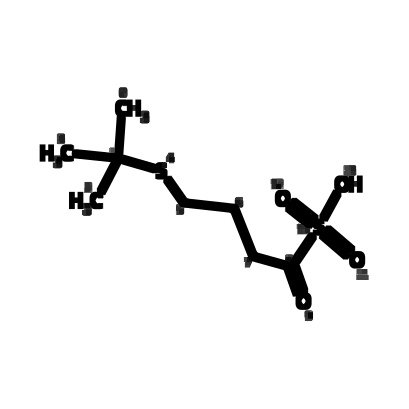 CC(C)(C)SCCCC(=O)S(=O)(=O)O